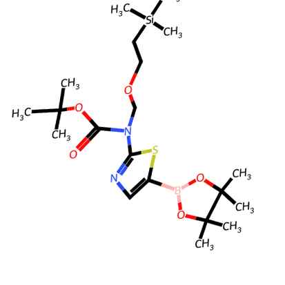 CC(C)(C)OC(=O)N(COCC[Si](C)(C)C)c1ncc(B2OC(C)(C)C(C)(C)O2)s1